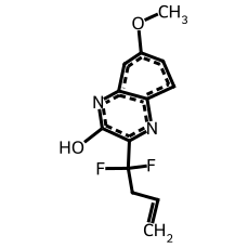 C=CCC(F)(F)c1nc2ccc(OC)cc2nc1O